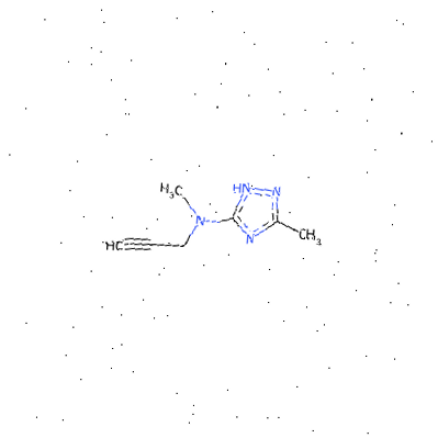 C#CCN(C)c1nc(C)n[nH]1